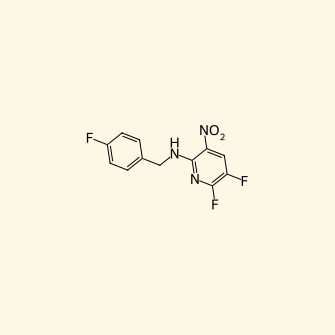 O=[N+]([O-])c1cc(F)c(F)nc1NCc1ccc(F)cc1